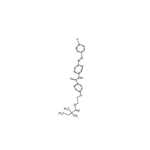 CCC(C)(C)C(=O)OCCOc1ccc(C(=O)Nc2ccc(/N=N/c3ccc(F)cc3)cc2)cc1